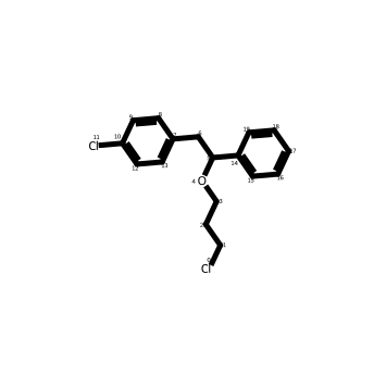 ClCCCOC(Cc1ccc(Cl)cc1)c1ccccc1